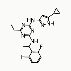 CCc1nc(Nc2cc(C3CC3)[nH]n2)nc(NC(C)c2c(F)cccc2F)n1